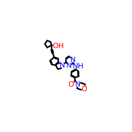 O=C(c1ccc(Nc2nccc(N3CCc4ccc(C#CC5(O)CCCC5)cc43)n2)cc1)N1CCOCC1